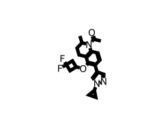 CC(=O)N1c2ccc(-c3cnn(C4CC4)c3)c(OC3CC(F)(F)C3)c2CCC1C